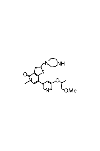 COCC(C)Oc1cncc(-c2cn(C)c(=O)c3cc(CN4CCNCC4)sc23)c1